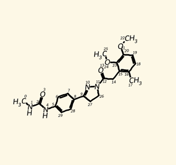 CNC(=O)Nc1ccc(C2=NN(C(=O)Cc3c(C)ccc(OC)c3OC)CC2)cc1